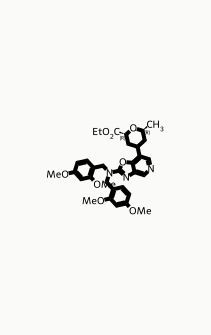 CCOC(=O)[C@H]1CC(c2cncc3nc(N(Cc4ccc(OC)cc4OC)Cc4ccc(OC)cc4OC)oc23)C[C@@H](C)O1